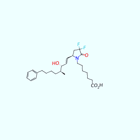 C[C@@H](CCCCc1ccccc1)[C@H](O)C=C[C@H]1CC(F)(F)C(=O)N1CCCCCCC(=O)O